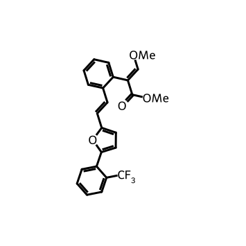 CO/C=C(/C(=O)OC)c1ccccc1/C=C/c1ccc(-c2ccccc2C(F)(F)F)o1